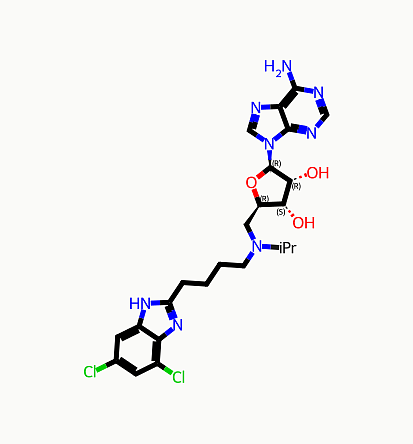 CC(C)N(CCCCc1nc2c(Cl)cc(Cl)cc2[nH]1)C[C@H]1O[C@@H](n2cnc3c(N)ncnc32)[C@H](O)[C@@H]1O